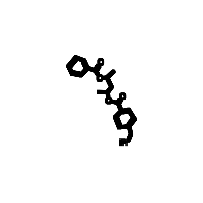 CC(C)Cc1ccc(C(=O)OC(C)CC(C)OC(=O)c2ccccc2)cc1